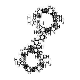 CC(C)[C@H]1NC(=O)C2C[C@@]3(O)c4cc(-c5ccc6c(c5)[C@]5(O)C[C@H]7C(=O)N[C@H](C(C)C)C(=O)N8NCCC[C@H]8C(=O)N8NCCC[C@@H]8C(=O)N(C)[C@@H](C)C(=O)N8NCCC[C@@H]8C(=O)N7[C@@H]5N6)ccc4N[C@H]3N2C(=O)[C@H]2CCCNN2C(=O)[C@H](C)N(C)C(=O)[C@H]2CCCNN2C(=O)[C@@H]2CCCNN2C1=O